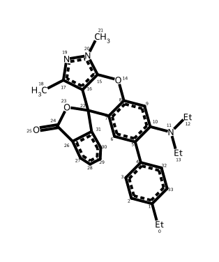 CCc1ccc(-c2cc3c(cc2N(CC)CC)Oc2c(c(C)nn2C)C32OC(=O)c3ccccc32)cc1